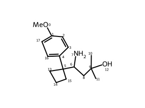 COc1ccc(C2(C(N)CC(C)(C)O)CCC2)cc1